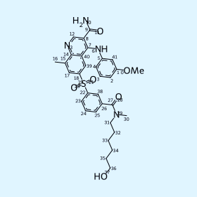 COc1cccc(Nc2c(C(N)=O)cnc3c(C)cc(S(=O)(=O)c4cccc(C(=O)N(C)CCCCCCO)c4)cc23)c1